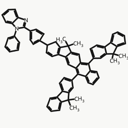 CC1(C)C2=C(C=CC(c3ccc(-c4nc5ccccc5n4-c4ccccc4)cc3)C2)c2cc3c(-c4ccc5c(c4)C(C)(C)c4ccccc4-5)c4ccccc4c(-c4ccc5c(c4)C(C)(C)c4ccccc4-5)c3cc21